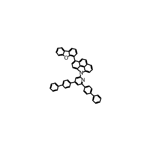 c1ccc(-c2ccc(-c3cc(-c4ccc(-c5ccccc5)cc4)nc(-n4c5cccc6ccc7c(-c8cccc9c8oc8ccccc89)ccc4c7c65)c3)cc2)cc1